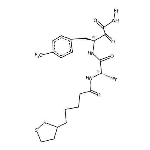 CCNC(=O)C(=O)[C@H](Cc1ccc(C(F)(F)F)cc1)NC(=O)[C@@H](NC(=O)CCCCC1CCSS1)C(C)C